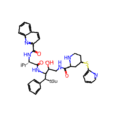 CC(C)[C@H](NC(=O)c1ccc2ccccc2n1)C(=O)NC(C(O)CNC(=O)C1CC(Sc2ccccn2)CCN1)C(c1ccccc1)C(C)(C)C